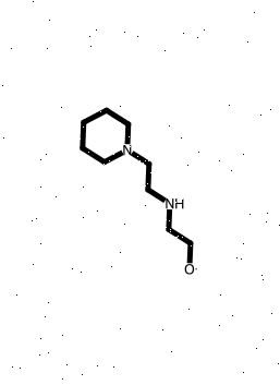 [O]CCNCCN1CCCCC1